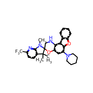 CN1c2nc(C(F)(F)F)ccc2C(C)(C)C12CNc1c(cc(N3CCCCC3)c3oc4ccccc4c13)O2